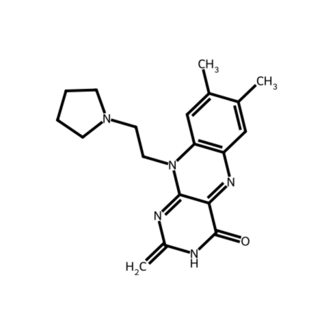 C=c1nc2c(c(=O)[nH]1)=Nc1cc(C)c(C)cc1N2CCN1CCCC1